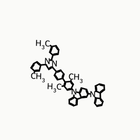 Cc1cccc(-c2cc(-c3ccc(-c4c(C)cc(-n5c6ccccc6c6cc(-n7c8ccccc8c8ccccc87)ccc65)cc4C)cc3)nc(-c3cccc(C)c3)n2)c1